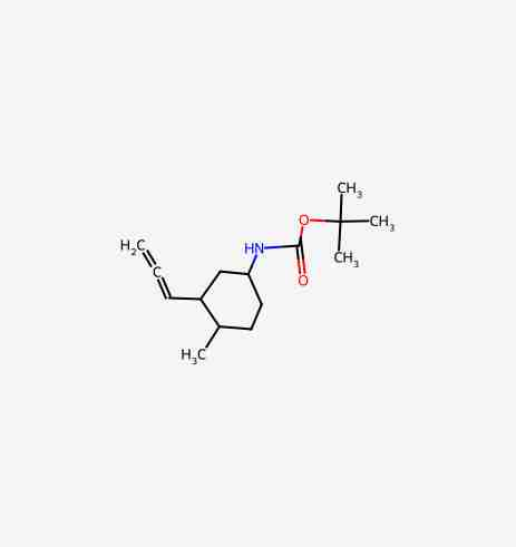 C=C=CC1CC(NC(=O)OC(C)(C)C)CCC1C